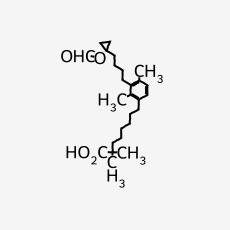 Cc1ccc(CCCCCCC(C)(C)C(=O)O)c(C)c1CCCCC1(OC=O)CC1